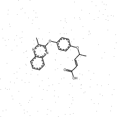 Cc1nc2ccccc2nc1Oc1ccc(OC(C)/C=C/C(=O)O)cc1